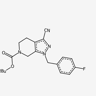 CC(C)(C)OC(=O)N1CCc2c(C#N)nn(Cc3ccc(F)cc3)c2C1